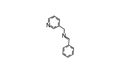 C(=NCc1cccnc1)c1ccccc1